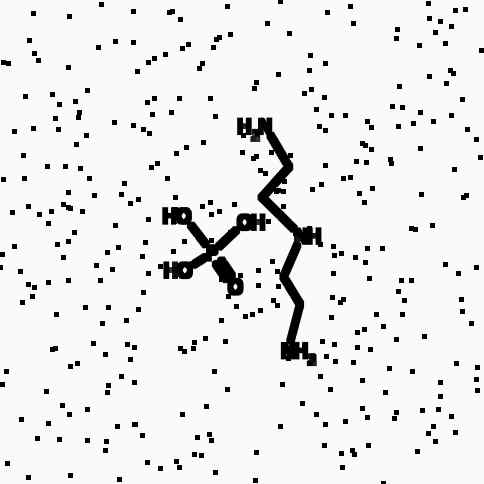 NCCNCCN.O=P(O)(O)O